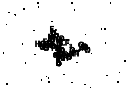 CC[C@@]1(O)C(=O)OCc2c1cc1n(c2=O)Cc2c-1nc1cc(F)c(C)c3c1c2[C@@H](N(C)C(=O)[C@H](OCNC(=O)CNC(=O)[C@H](Cc1ccccc1)NC(=O)CNC(=O)CNC(=O)CCCCCN1C(=O)C=CC1=O)C(F)(F)F)CC3